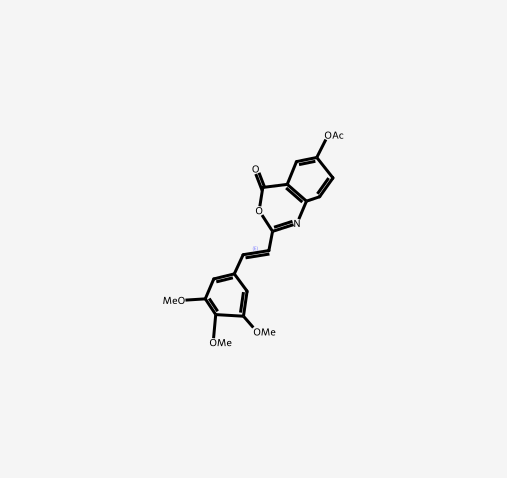 COc1cc(/C=C/c2nc3ccc(OC(C)=O)cc3c(=O)o2)cc(OC)c1OC